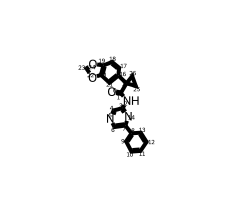 O=C(Nc1cncc(-c2ccccc2)n1)C1(c2ccc3c(c2)OCO3)CC1